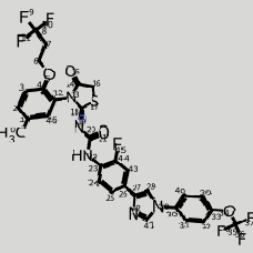 Cc1ccc(OCCC(F)(F)F)c(N2C(=O)CS/C2=N\C(=O)Nc2ccc(-c3cn(-c4ccc(OC(F)(F)F)cc4)cn3)cc2F)c1